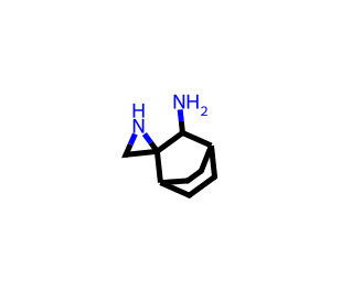 NC1C2CCC(CC2)C12CN2